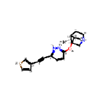 C(#Cc1ccc(O[C@@H]2CN3CCC2CC3)nn1)c1ccsc1